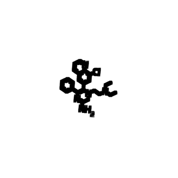 CCN(CC)CCN1CC(N)=NC(c2ccccc2)=C1c1cc(Cl)c2ncccc2c1